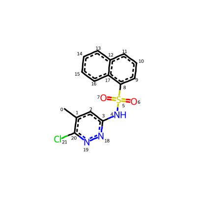 Cc1cc(NS(=O)(=O)c2cccc3ccccc23)nnc1Cl